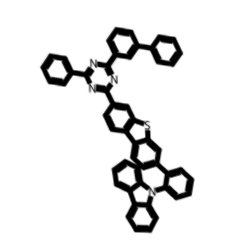 c1ccc(-c2cccc(-c3nc(-c4ccccc4)nc(-c4ccc5c(c4)sc4cc(-c6ccccc6-n6c7ccccc7c7ccccc76)ccc45)n3)c2)cc1